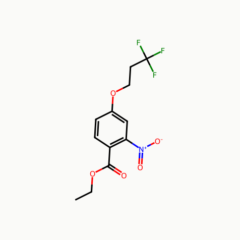 CCOC(=O)c1ccc(OCCC(F)(F)F)cc1[N+](=O)[O-]